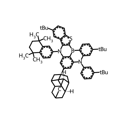 CC(C)(C)c1cccc(N2c3cc(C(C)(C)C)ccc3B3c4sc5ccc(C(C)(C)C)cc5c4N(c4ccc5c(c4)C(C)(C)CCC5(C)C)c4cc([C@]56CC7C8CC9C[C@@H]7C(C5)[C@@H](C9)C8C6)cc2c43)c1